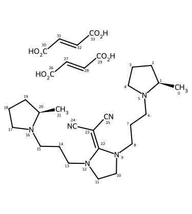 C[C@@H]1CCCN1CCCN1CCN(CCCN2CCC[C@H]2C)C1=C(C#N)C#N.O=C(O)/C=C/C(=O)O.O=C(O)/C=C/C(=O)O